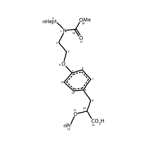 CCCCCCCN(CCOc1ccc(CC(OCCC)C(=O)O)cc1)C(=O)OC